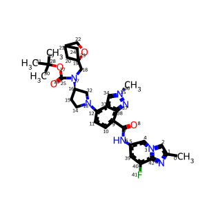 Cc1cn2cc(NC(=O)c3ccc(N4CC[C@@H](N(CC56CC(CO5)C6)C(=O)OC(C)(C)C)C4)c4cn(C)nc34)cc(F)c2n1